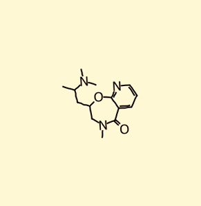 CC(CC1CN(C)C(=O)c2cccnc2O1)N(C)C